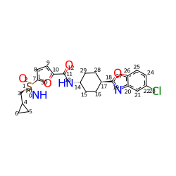 N=[S@@](=O)(CC1CC1)c1ccc(C(=O)N[C@H]2CC[C@H](c3nc4cc(Cl)ccc4o3)CC2)o1